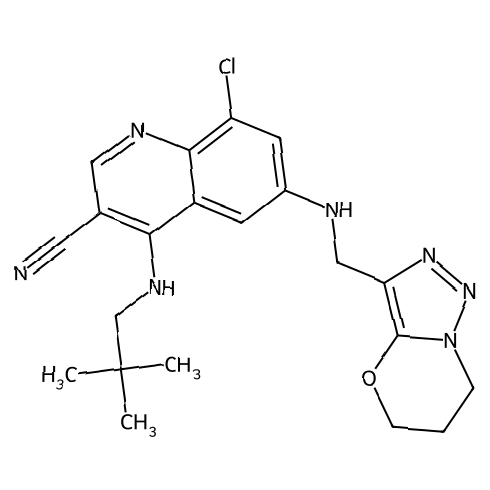 CC(C)(C)CNc1c(C#N)cnc2c(Cl)cc(NCc3nnn4c3OCCC4)cc12